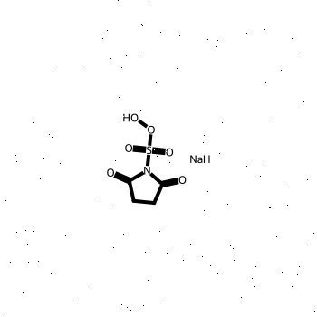 O=C1CCC(=O)N1S(=O)(=O)OO.[NaH]